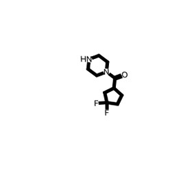 O=C(C1CCC(F)(F)C1)N1CCNCC1